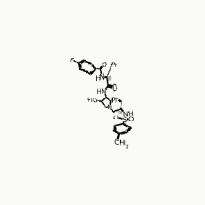 Cc1ccc(S(=O)(=O)N[C@@H](CC(C)C)CN2CC(O)C(NC(=O)[C@H](CC(C)C)NC(=O)c3ccc(F)cc3)C2)cc1